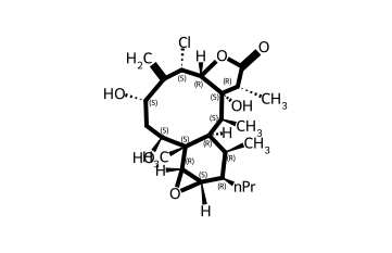 C=C1[C@@H](O)C[C@H](O)[C@]2(C)[C@H]([C@@H](C)[C@@H](CCC)[C@@H]3O[C@@H]32)[C@H](C)[C@]2(O)[C@@H](C)C(=O)O[C@H]2[C@H]1Cl